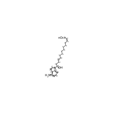 CCCCCCCC/C=C\CCCCCCCCSCCC(O)n1cnc2c(N)ncnc21